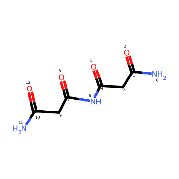 NC(=O)CC(=O)NC(=O)CC(N)=O